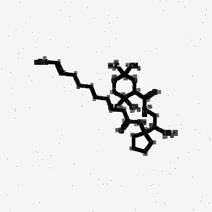 CCCCCCCCC=CCCCCCCCC(=O)NC1(C(CNC(=O)C2OC(C)(C)OCC2(C)C)C(=O)O)CCCC1